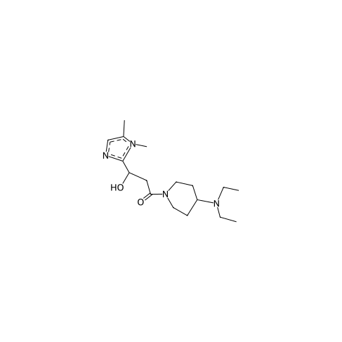 CCN(CC)C1CCN(C(=O)CC(O)c2ncc(C)n2C)CC1